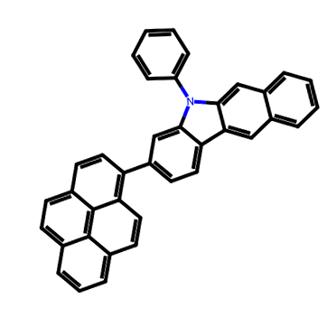 c1ccc(-n2c3cc(-c4ccc5ccc6cccc7ccc4c5c67)ccc3c3cc4ccccc4cc32)cc1